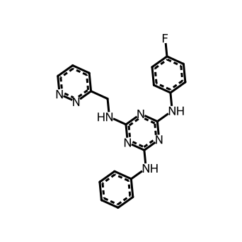 Fc1ccc(Nc2nc(NCc3cccnn3)nc(Nc3ccccc3)n2)cc1